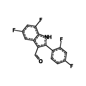 O=Cc1c(-c2ccc(F)cc2F)[nH]c2c(F)cc(F)cc12